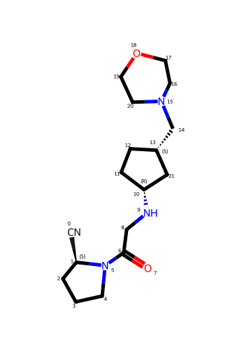 N#C[C@@H]1CCCN1C(=O)CN[C@@H]1CC[C@H](CN2CCOCC2)C1